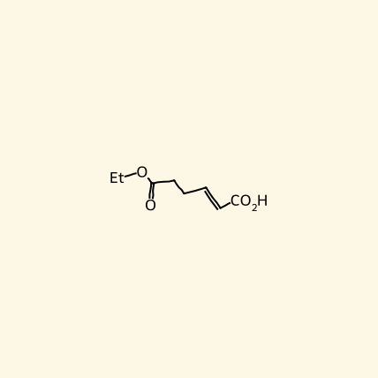 CCOC(=O)CCC=CC(=O)O